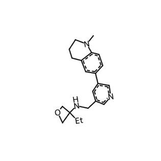 CCC1(NCc2cncc(-c3ccc4c(c3)CCCN4C)c2)COC1